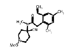 C=Cc1cc(C)cc(C)c1CC(=O)N(C)C1(C#N)CCN(OC)CC1